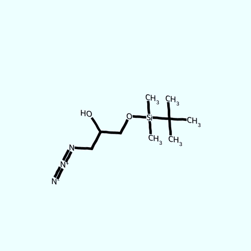 CC(C)(C)[Si](C)(C)OCC(O)CN=[N+]=[N-]